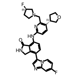 O=C1NCc2c(-c3cnc4cc(F)ccn34)ccc(Nc3ccc([C@@H]4CCOC4)c(CN4CC[C@@H](F)C4)n3)c21